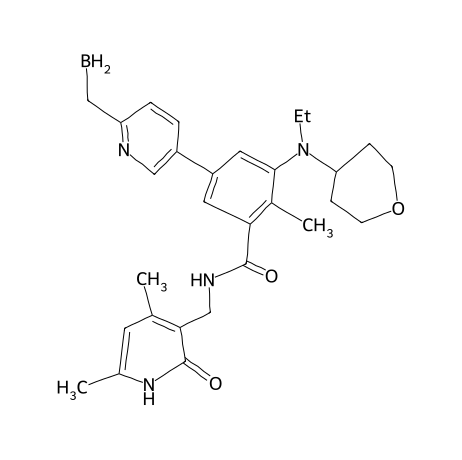 BCc1ccc(-c2cc(C(=O)NCc3c(C)cc(C)[nH]c3=O)c(C)c(N(CC)C3CCOCC3)c2)cn1